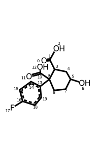 O=C(O)C1CC(O)CCC1(C(=O)O)c1ccc(F)cc1